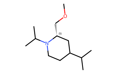 COC[C@@H]1CC(C(C)C)CCN1C(C)C